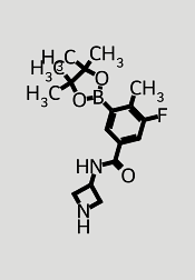 Cc1c(F)cc(C(=O)NC2CNC2)cc1B1OC(C)(C)C(C)(C)O1